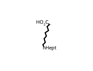 CCCCCCCCCCCCCC[CH]C(=O)O